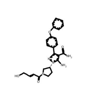 NC(=O)c1c(-c2ccc(Oc3ccccc3)cc2)nn([C@@H]2CCN(C(=O)/C=C/CO)C2)c1N